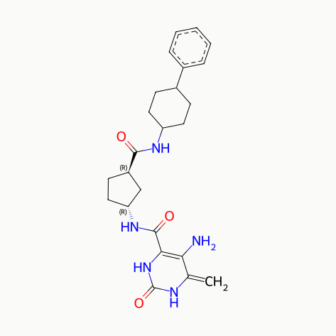 C=C1NC(=O)NC(C(=O)N[C@@H]2CC[C@@H](C(=O)NC3CCC(c4ccccc4)CC3)C2)=C1N